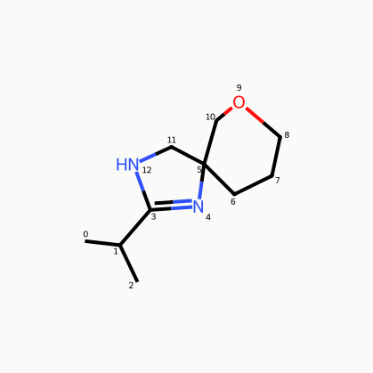 CC(C)C1=NC2(CCCOC2)CN1